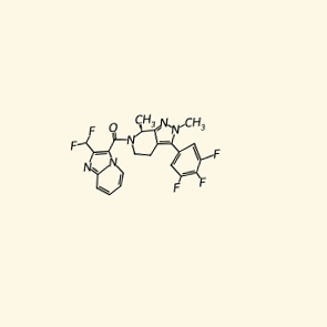 C[C@H]1c2nn(C)c(-c3cc(F)c(F)c(F)c3)c2CCN1C(=O)c1c(C(F)F)nc2ccccn12